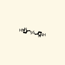 c1cc(CSSCc2cc[nH]n2)n[nH]1